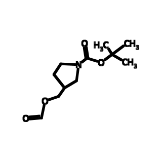 CC(C)(C)OC(=O)N1CCC(COC=O)C1